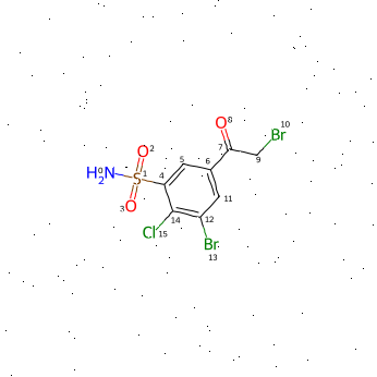 NS(=O)(=O)c1cc(C(=O)CBr)cc(Br)c1Cl